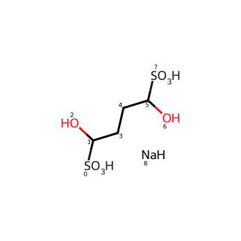 O=S(=O)(O)C(O)CCC(O)S(=O)(=O)O.[NaH]